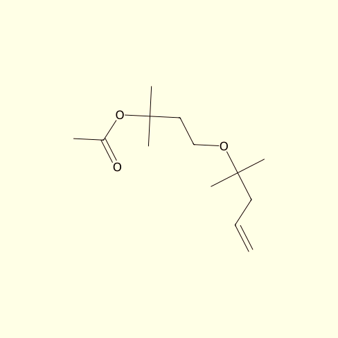 C=CCC(C)(C)OCCC(C)(C)OC(C)=O